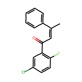 CC(=CC(=O)c1cc(Cl)ccc1F)c1ccccc1